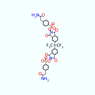 NC(=O)Cc1ccc(S(=O)(=O)ON2C(=O)c3ccc(C(c4ccc5c(c4)C(=O)N(OS(=O)(=O)c4ccc(CC(N)=O)cc4)C5=O)(C(F)(F)F)C(F)(F)F)cc3C2=O)cc1